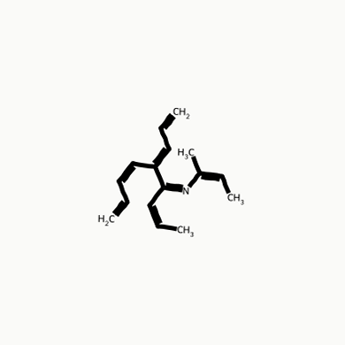 C=C\C=C/C(=C\C=C)C(/C=C\C)=N\C(C)=C/C